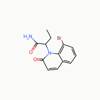 CCC(C(N)=O)n1c(=O)ccc2cccc(Br)c21